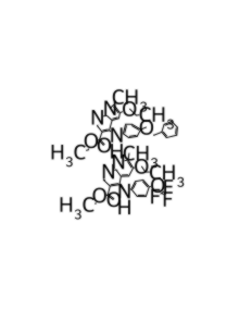 CCOC(=O)c1cnc2nc(C)c(OCC)cc2c1Nc1ccc(OC(F)(F)F)cc1.CCOC(=O)c1cnc2nc(C)c(OCC)cc2c1Nc1ccc(OCc2ccccc2)cc1